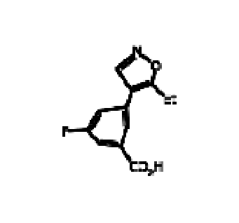 CCc1oncc1-c1cc(F)cc(C(=O)O)c1